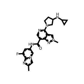 Cc1cn2cc(NC(=O)c3cnc(N4CCC(NC5CC5)C4)c4cn(C)nc34)cc(F)c2n1